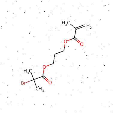 C=C(C)C(=O)OCCCOC(=O)C(C)(C)Br